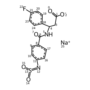 O=C([O-])CC(NC(=O)c1ccc(N=S(=O)=O)cc1)c1ccc(F)cc1.[Na+]